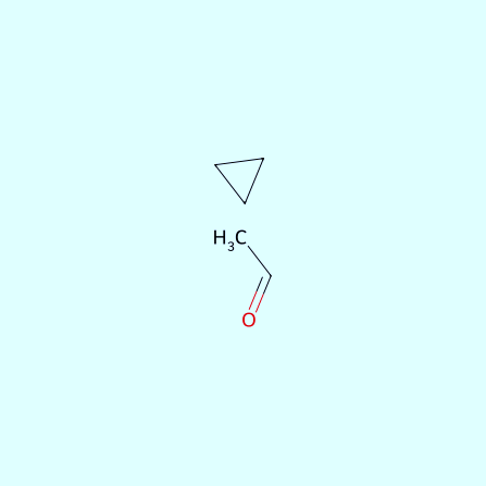 C1CC1.CC=O